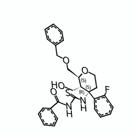 O=C(NC(=S)N[C@@]1(c2ccccc2F)CCO[C@H](COCc2ccccc2)[C@H]1CO)c1ccccc1